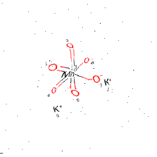 [K+].[K+].[O]=[Mn](=[O])(=[O])(=[O])([O-])[O-]